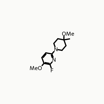 COc1ccc(N2CCC(C)(OC)CC2)nc1F